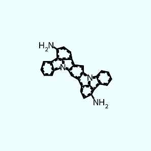 Nc1ccc2c3cc4c(cc3n3c5ccccc5c1c23)c1ccc(N)c2c3ccccc3n4c12